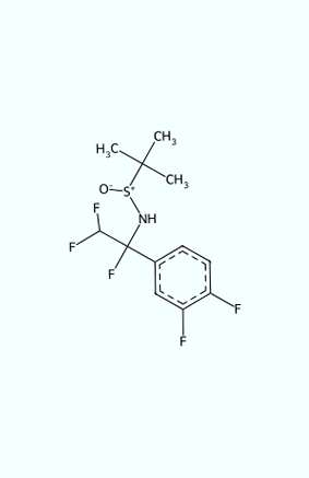 CC(C)(C)[S+]([O-])NC(F)(c1ccc(F)c(F)c1)C(F)F